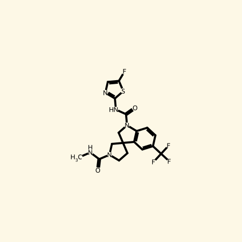 CNC(=O)N1CCC2(C1)CN(C(=O)Nc1ncc(F)s1)c1ccc(C(F)(F)F)cc12